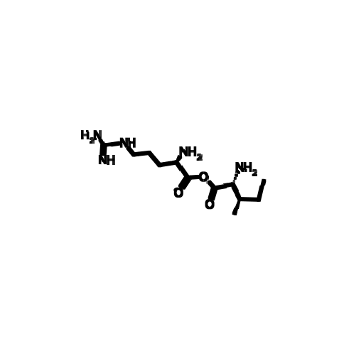 CC[C@@H](C)[C@@H](N)C(=O)OC(=O)[C@H](N)CCCNC(=N)N